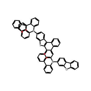 c1ccc(-c2ccccc2N(c2ccc3c(c2)oc2ccccc23)c2ccc3c(c2)c2ccccc2c2c4ccc(N(c5ccccc5-c5ccccc5)c5cccc6c5oc5ccccc56)cc4sc32)cc1